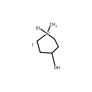 CC[N+]1(C)CCC(O)CC1.[I-]